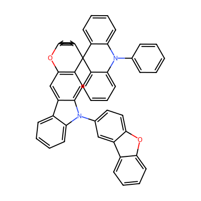 c1ccc(N2c3ccccc3C3(c4ccccc4Oc4cc5c6ccccc6n(-c6ccc7oc8ccccc8c7c6)c5cc43)c3ccccc32)cc1